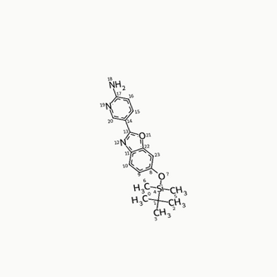 CC(C)(C)[Si](C)(C)Oc1ccc2nc(-c3ccc(N)nc3)oc2c1